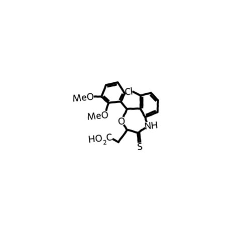 COc1cccc(C2OC(CC(=O)O)C(=S)Nc3cccc(Cl)c32)c1OC